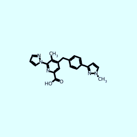 Cc1c(Cc2ccc(-c3ccn(C)n3)cc2)cc(C(=O)O)nc1-n1cccn1